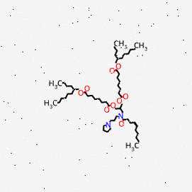 CCCCC/C=C\CCC(=O)N(CCCN1CCCC1)CC(COC(=O)CCCCCCC(=O)OCC(CCCC)CCCCCC)COC(=O)CCCCCCC(=O)OCC(CCCC)CCCCCC